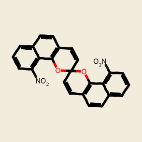 O=[N+]([O-])c1cccc2ccc3c(c12)OC1(C=C3)C=Cc2ccc3cccc([N+](=O)[O-])c3c2O1